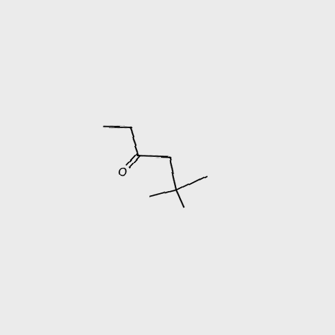 CCC(=O)CC(C)(C)C